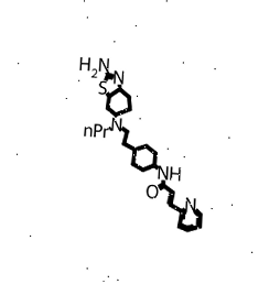 CCCN(CCC1CCC(NC(=O)/C=C/c2ccccn2)CC1)[C@H]1CCC2N=C(N)SC2C1